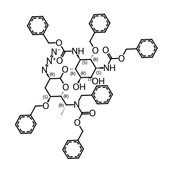 C[C@H]([C@H]1OC(O[C@H]2[C@H](O)[C@@H](O)[C@H](NC(=O)OCc3ccccc3)[C@@H](OCc3ccccc3)[C@@H]2NC(=O)OCc2ccccc2)[C@H](N=[N+]=[N-])C[C@@H]1OCc1ccccc1)N(Cc1ccccc1)C(=O)OCc1ccccc1